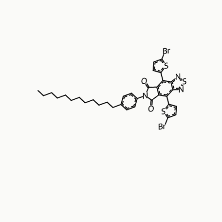 CCCCCCCCCCCCc1ccc(N2C(=O)c3c(c(-c4ccc(Br)s4)c4nsnc4c3-c3ccc(Br)s3)C2=O)cc1